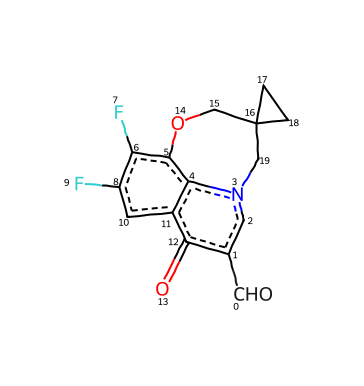 O=Cc1cn2c3c(c(F)c(F)cc3c1=O)OCC1(CC1)C2